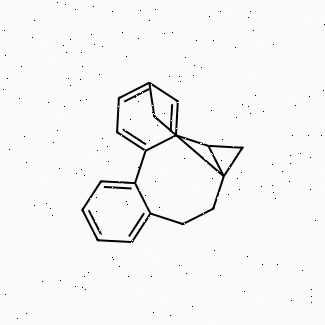 c1ccc2c(c1)CCC13Cc4ccc-2c(c4)C1C3